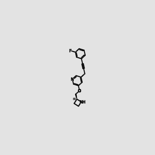 Fc1cccc(C#CCc2cncc(OC[C@@H]3CCN3)c2)c1